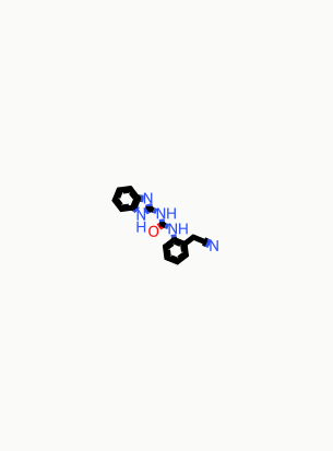 N#CCc1ccccc1NC(=O)Nc1nc2ccccc2[nH]1